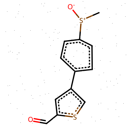 C[S+]([O-])c1ccc(-c2csc(C=O)c2)cc1